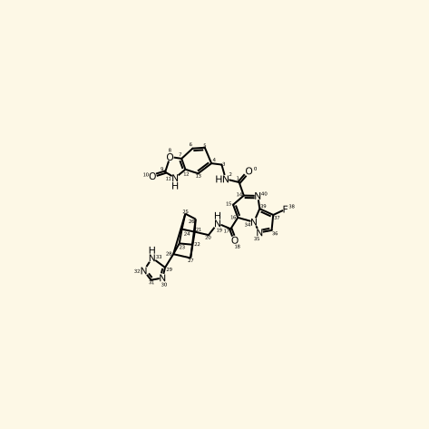 O=C(NCc1ccc2oc(=O)[nH]c2c1)c1cc(C(=O)NCC23C4C5C2C2C3C4C52c2ncn[nH]2)n2ncc(F)c2n1